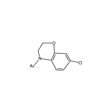 CC(=O)N1CCOc2cc(Cl)ccc21